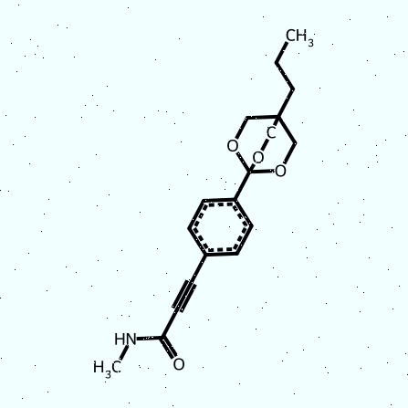 CCCC12COC(c3ccc(C#CC(=O)NC)cc3)(OC1)OC2